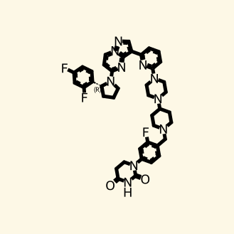 O=C1CCN(c2ccc(CN3CCC(N4CCN(c5cccc(-c6cnn7ccc(N8CCC[C@@H]8c8ccc(F)cc8F)nc67)n5)CC4)CC3)c(F)c2)C(=O)N1